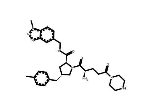 Cc1ccc(C[C@@H]2C[C@@H](C(=O)NCc3ccc4c(c3)nnn4C)N(C(=O)[C@H](N)CCC(=O)N3CCNCC3)C2)cc1